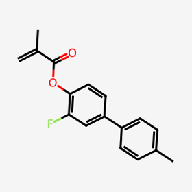 C=C(C)C(=O)Oc1ccc(-c2ccc(C)cc2)cc1F